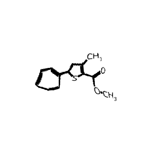 COC(=O)C1=C(C)CC(c2ccccc2)S1